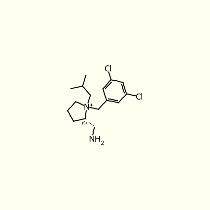 CC(C)C[N+]1(Cc2cc(Cl)cc(Cl)c2)CCC[C@H]1CN